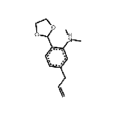 C=CCc1ccc(C2OCCO2)c([SiH](C)C)c1